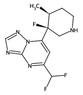 C[C@H]1CCNC[C@]1(F)c1cc(C(F)F)nc2ncnn12